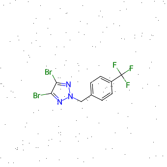 FC(F)(F)c1ccc(Cn2nc(Br)c(Br)n2)cc1